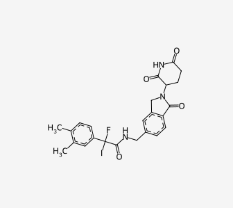 Cc1ccc(C(F)(I)C(=O)NCc2ccc3c(c2)CN(C2CCC(=O)NC2=O)C3=O)cc1C